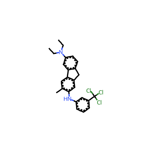 CCN(CC)c1ccc2c(c1)-c1cc(C)c(Nc3cccc(C(Cl)(Cl)Cl)c3)cc1C2